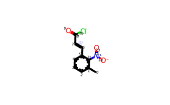 Cc1cccc(/C=C/C(=O)Cl)c1[N+](=O)[O-]